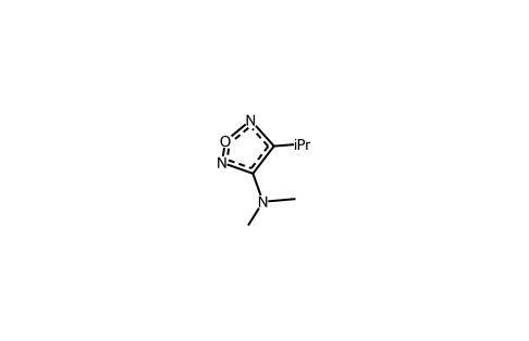 CC(C)c1nonc1N(C)C